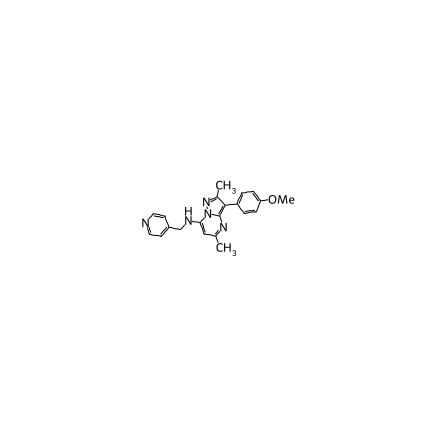 COc1ccc(-c2c(C)nn3c(NCc4ccncc4)cc(C)nc23)cc1